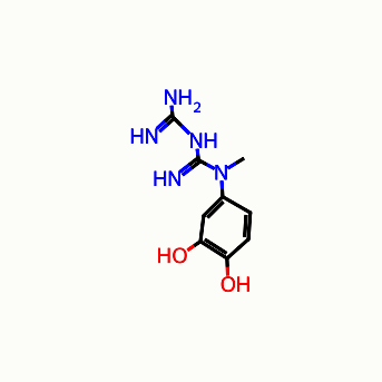 CN(C(=N)NC(=N)N)c1ccc(O)c(O)c1